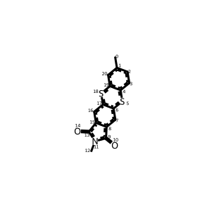 Cc1ccc2sc3cc4c(=O)n(C)c(=O)c4cc3sc2c1